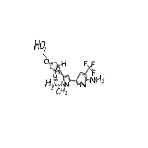 CC(C)n1nc(-c2cnc(N)c(C(F)(F)F)c2)cc1[C@H]1[C@@H]2C[C@H](OCCCO)C[C@@H]21